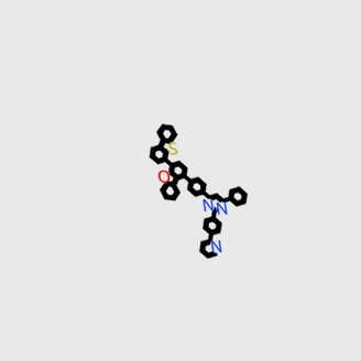 c1ccc(-c2cc(-c3ccc(-c4ccc(-c5cccc6c5sc5ccccc56)c5oc6ccccc6c45)cc3)nc(-c3ccc(-c4ccccn4)cc3)n2)cc1